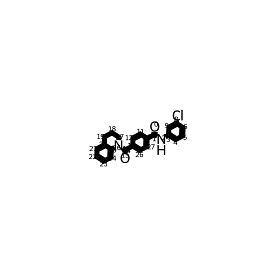 O=C(Nc1cccc(Cl)c1)c1ccc(C(=O)N2CCCc3ccccc32)cc1